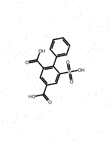 O=C(O)c1cc(C(=O)O)c(-c2ccccc2)c(S(=O)(=O)O)c1